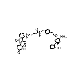 Nc1nnc(-c2ccccc2O)cc1OCCc1ccc(CNC(=O)CCCCNc2cccc3c2C(=O)N(C2CCC(=O)NC2=O)C3=O)cc1